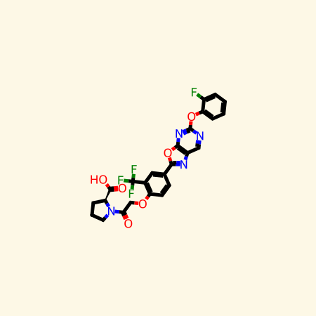 O=C(O)[C@@H]1CCCN1C(=O)COc1ccc(-c2nc3cnc(Oc4ccccc4F)nc3o2)cc1C(F)(F)F